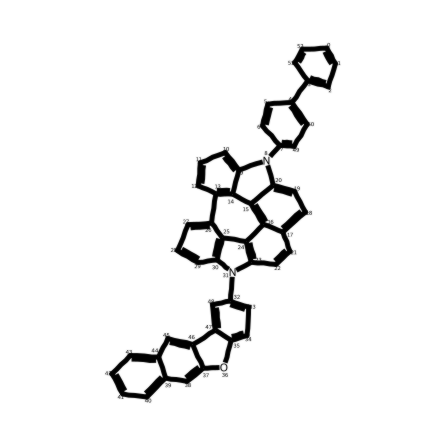 c1ccc(-c2ccc(-n3c4cccc5c4c4c6c(ccc43)ccc3c6c4c-5cccc4n3-c3ccc4oc5cc6ccccc6cc5c4c3)cc2)cc1